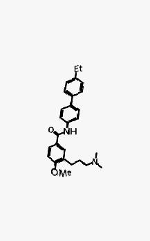 CCc1ccc(-c2ccc(NC(=O)c3ccc(OC)c(CCCN(C)C)c3)cc2)cc1